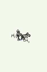 CCOC(O)c1c(CCCOc2cccc3ccccc23)c2cccc3c2n1C/C=C\COCc1nn(C)c(CN2CCOCC2)c1-3